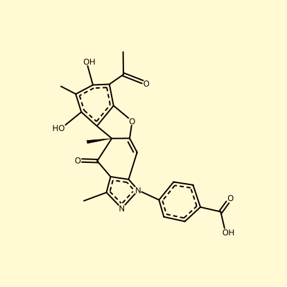 CC(=O)c1c(O)c(C)c(O)c2c1OC1=Cc3c(c(C)nn3-c3ccc(C(=O)O)cc3)C(=O)[C@@]12C